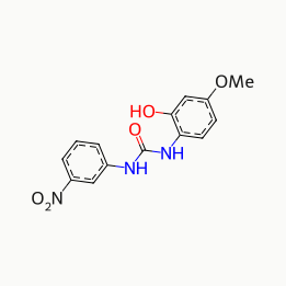 COc1ccc(NC(=O)Nc2cccc([N+](=O)[O-])c2)c(O)c1